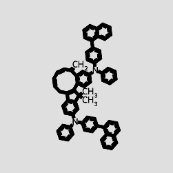 C=C1/C=C\C=C/CC2=C(c3ccc(N(c4ccccc4)c4ccc(-c5cccc6ccccc56)cc4)cc31)C(C)(C)c1cc(N(c3ccccc3)c3ccc(-c4cccc5ccccc45)cc3)ccc12